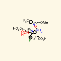 CC(C)n1c(/C=C/[C@@H](O)C[C@@H](O)CC(=O)O)c(-c2ccc(F)cc2)c2ccccc21.COCCCC/C(=N\OCCN)c1ccc(C(F)(F)F)cc1.O=C(O)/C=C\C(=O)O